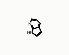 [c]1ccc2cc[nH]c2n1